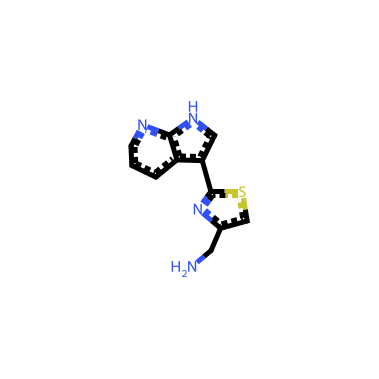 NCc1csc(-c2c[nH]c3ncccc23)n1